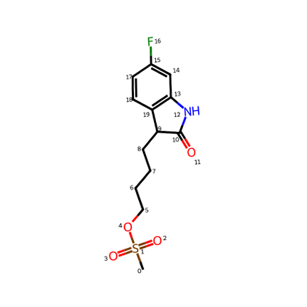 CS(=O)(=O)OCCCCC1C(=O)Nc2cc(F)ccc21